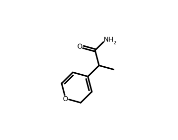 CC(C(N)=O)C1=CCOC=C1